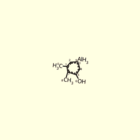 Cc1cccc(O)c1C.[AlH3]